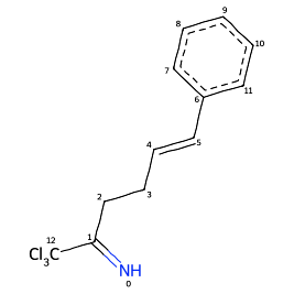 N=C(CC/C=C/c1ccccc1)C(Cl)(Cl)Cl